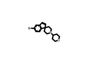 Brc1ccc2c(c1)C=CC21CCN(C2CCOCC2)CC1